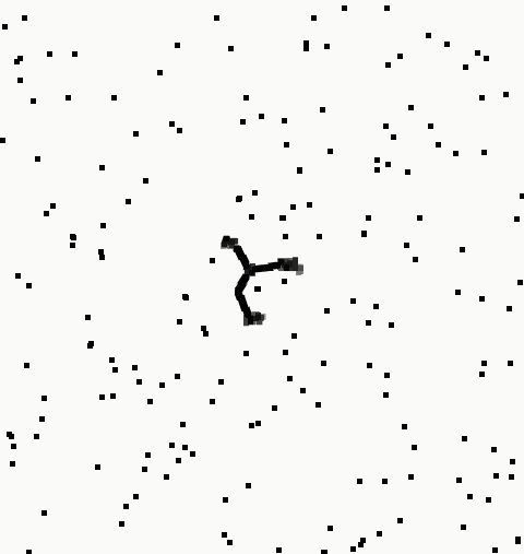 CCCCN(N)C(C)=O